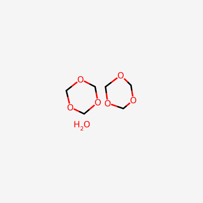 C1OCOCO1.C1OCOCO1.O